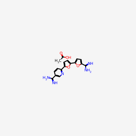 CC(=O)O.N=C(N)c1ccc(-c2ccc(-c3ccc(C(=N)N)o3)o2)nc1